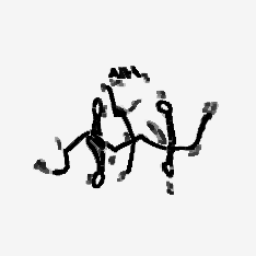 CCC(C)(S(=O)(=O)CC)S(=O)(=O)CC.[AlH3]